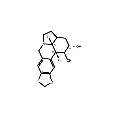 OC1[C@@H](O)CC2CCN3Cc4cc5c(cc4[C@@H]1[C@@H]23)OCO5